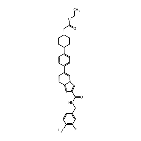 CCOC(=O)CC1CCC(c2ccc(-c3ccc4nc(C(=O)NCc5ccc(C)c(F)c5)cn4c3)cc2)CC1